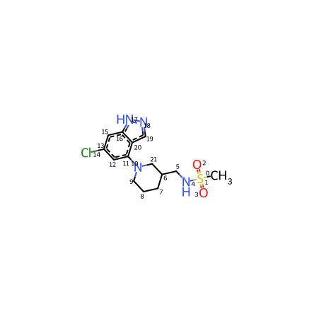 CS(=O)(=O)NCC1CCCN(c2cc(Cl)cc3[nH]ncc23)C1